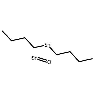 CCC[CH2][Sn][CH2]CCC.[O]=[Sn]